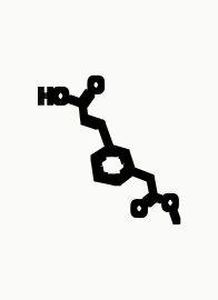 COC(=O)Cc1cccc(/C=C/C(=O)O)c1